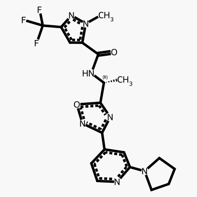 C[C@@H](NC(=O)c1cc(C(F)(F)F)nn1C)c1nc(-c2ccnc(N3CCCC3)c2)no1